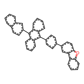 c1ccc2cc(-c3c4ccccc4c(-c4ccc(-c5ccc6oc7ccccc7c6c5)cc4)c4ccccc34)ccc2c1